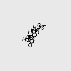 CCOC(=O)C=C[C@@]12O[C@@]13CCC1C(C3[C@@H]3C[C@@H]32)[C@H]2C[C@H]2[C@]2(O)CC(=O)CC[C@]12C